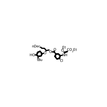 CCCCCCCCCCCCC(COC(=O)c1ccc(Cl)c(NC(=CC(=O)OCC)OCC)c1)Oc1ccc(O)c(C(C)(C)C)c1